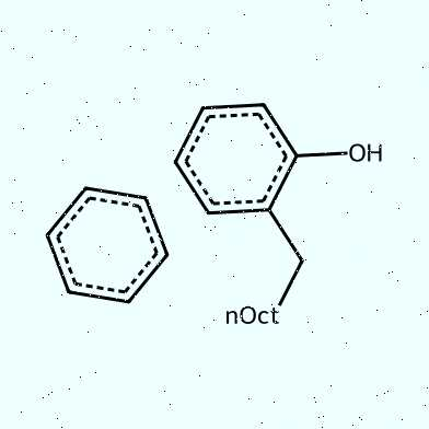 CCCCCCCCCc1ccccc1O.c1ccccc1